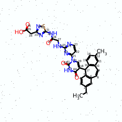 CCc1ccc2c(c1)C=Cc1cc(C)ccc1C2c1cn(-c2ccnc(NCC(=O)Nc3nc(CC(=O)O)ns3)n2)c(=O)[nH]c1=O